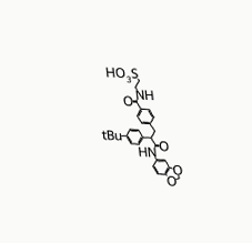 CC(C)(C)c1ccc(C(Cc2ccc(C(=O)NCCS(=O)(=O)O)cc2)C(=O)Nc2ccc3c(c2)OCO3)cc1